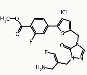 COC(=O)c1ccc(-c2ccc(Cn3cnn(CC(=CF)CN)c3=O)s2)cc1F.Cl